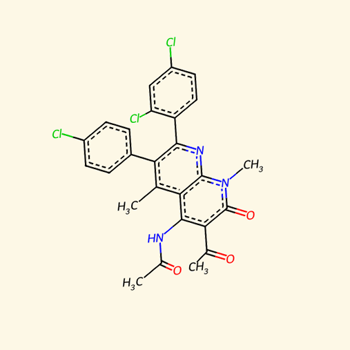 CC(=O)Nc1c(C(C)=O)c(=O)n(C)c2nc(-c3ccc(Cl)cc3Cl)c(-c3ccc(Cl)cc3)c(C)c12